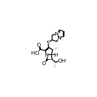 C[C@@H](O)[C@H]1C(=O)N2C(C(=O)O)=C(SC3Cn4ccc[n+]4C3)[C@H](C)[C@H]12